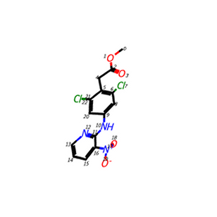 COC(=O)Cc1c(Cl)cc(Nc2ncccc2[N+](=O)[O-])cc1Cl